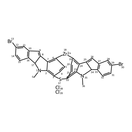 CN1c2c3cc[c](c2C2=Cc4cc(Br)ccc4C21)[Zr+2][c]1ccc(c2c1C1=Cc4cc(Br)ccc4C1N2C)S3.[Cl-].[Cl-]